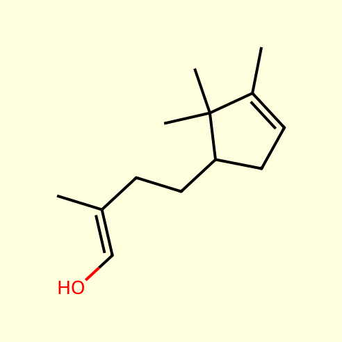 CC(=CO)CCC1CC=C(C)C1(C)C